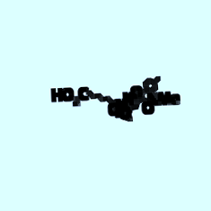 CNC(=O)c1c(-c2ccc(C)cc2)oc2nc(N(CCCCCCCC(=O)O)S(C)(=O)=O)c(C3CC3)cc12